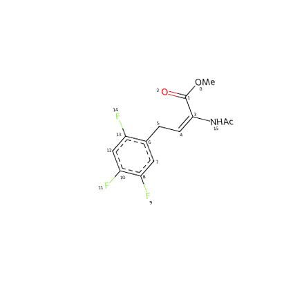 COC(=O)C(=CCc1cc(F)c(F)cc1F)NC(C)=O